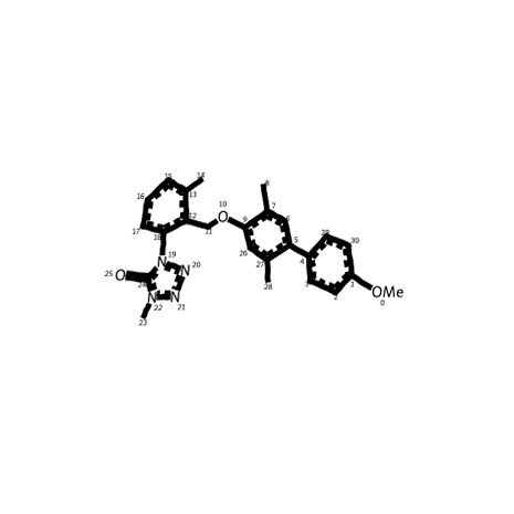 COc1ccc(-c2cc(C)c(OCc3c(C)cccc3-n3nnn(C)c3=O)cc2C)cc1